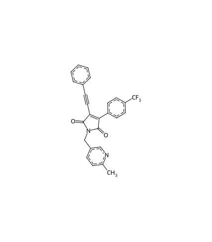 Cc1ccc(CN2C(=O)C(C#Cc3ccccc3)=C(c3ccc(C(F)(F)F)cc3)C2=O)cn1